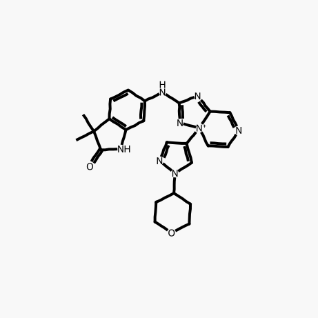 CC1(C)C(=O)Nc2cc(NC3=N[N+]4(c5cnn(C6CCOCC6)c5)C=CN=CC4=N3)ccc21